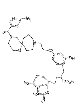 CC(C)c1ncc(C(=O)N2CCOC3(CCN(CCOc4ccc(CN(CCc5ccc(O)c6[nH]c(=O)sc56)C(=O)O)c(O)c4)CC3)C2)s1